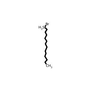 CCCCCCCCCCCCC[SiH2]Br